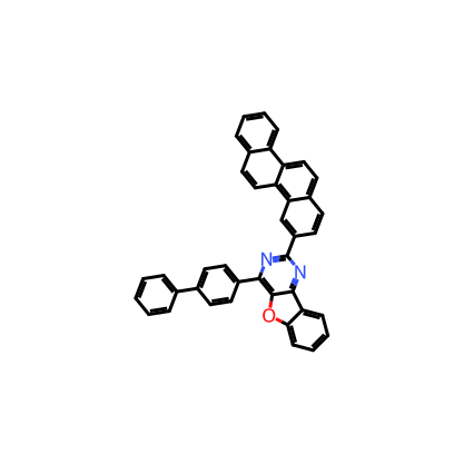 c1ccc(-c2ccc(-c3nc(-c4ccc5ccc6c7ccccc7ccc6c5c4)nc4c3oc3ccccc34)cc2)cc1